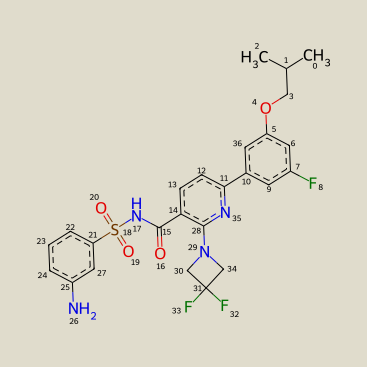 CC(C)COc1cc(F)cc(-c2ccc(C(=O)NS(=O)(=O)c3cccc(N)c3)c(N3CC(F)(F)C3)n2)c1